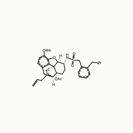 C=CCN1CC[C@]23c4c5ccc(OC)c4O[C@H]2[C@H](NS(=O)(=O)Cc2ccccc2CC(C)C)CC[C@@]3(OC(C)=O)[C@H]1C5